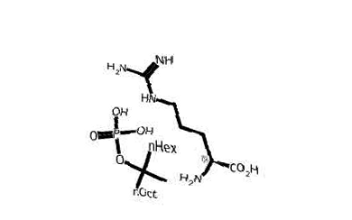 CCCCCCCCC(C)(CCCCCC)OP(=O)(O)O.N=C(N)NCCC[C@H](N)C(=O)O